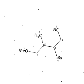 CCC(C)C(CC#N)[C](C)COC